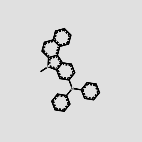 Cn1c2cc(N(c3ccccc3)c3ccccc3)ccc2c2c3ccccc3ccc21